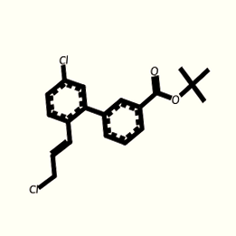 CC(C)(C)OC(=O)c1cccc(-c2cc(Cl)ccc2/C=C/CCl)c1